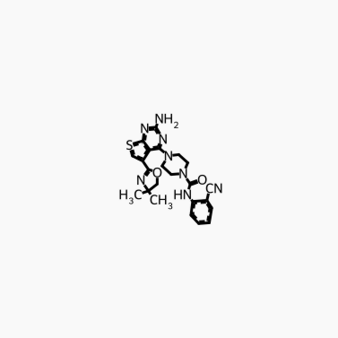 CC1(C)COC(c2csc3nc(N)nc(N4CCN(C(=O)Nc5ccccc5C#N)CC4)c23)=N1